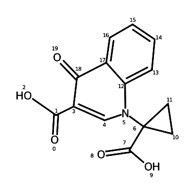 O=C(O)c1cn(C2(C(=O)O)CC2)c2ccccc2c1=O